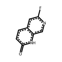 O=c1ccc2cc(F)ncc2[nH]1